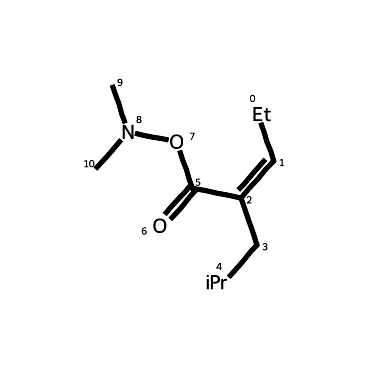 CCC=C(CC(C)C)C(=O)ON(C)C